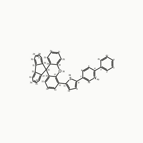 c1ccc(-c2ccc(-c3ccc(-c4cccc5c4Oc4ccccc4C54c5ccccc5-c5ccccc54)s3)cn2)cc1